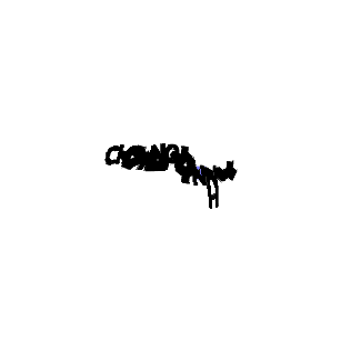 Cc1cc(Oc2ccn(-c3ccc(Cl)cc3)n2)c(C)cc1/N=C/NCCC(C)C